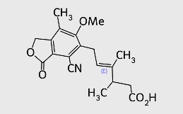 COc1c(C)c2c(c(C#N)c1C/C=C(\C)C(C)CC(=O)O)C(=O)OC2